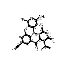 C=C(C)c1c(C(=O)c2cc(C)cc(C#N)c2)n(Cc2cc(N)nc(F)c2)c(=O)[nH]c1=O